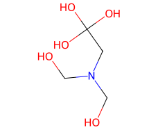 OCN(CO)CC(O)(O)O